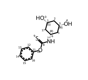 O[C@@H]1C[C@H](O)C[C@H](NC(=S)Oc2ccccc2)C1